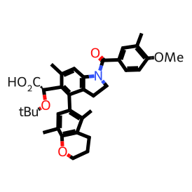 COc1ccc(C(=O)N2CCc3c2cc(C)c([C@H](OC(C)(C)C)C(=O)O)c3-c2cc(C)c3c(c2C)CCCO3)cc1C